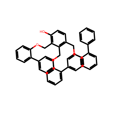 Oc1ccc(COc2ccccc2-c2ccccc2)c(COc2ccccc2-c2ccccc2)c1COc1ccccc1-c1ccccc1